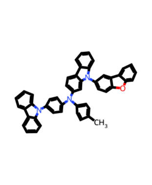 Cc1ccc(N(c2ccc(-n3c4ccccc4c4ccccc43)cc2)c2ccc3c4ccccc4n(-c4ccc5oc6ccccc6c5c4)c3c2)cc1